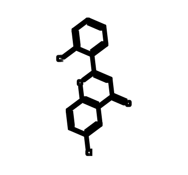 O=c1cc(-c2ccccc2Cl)oc2ccc(Cl)cc12